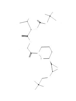 CC(C)[C@H](NC(=O)OC(C)(C)C)C(=O)N[C@@H](C)C(=O)N1CCC[C@@H](C2OC2OCC(Cl)(Cl)Cl)N1